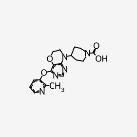 Cc1ncccc1Oc1ncnc2c1OCCN2C1CCN(C(=O)O)CC1